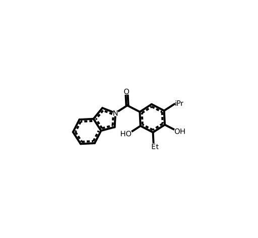 CCc1c(O)c(C(=O)n2cc3ccccc3c2)cc(C(C)C)c1O